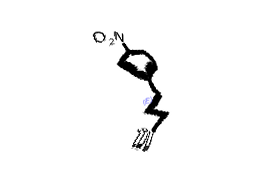 CC(C)(C)C/C=C/c1ccc([N+](=O)[O-])cc1